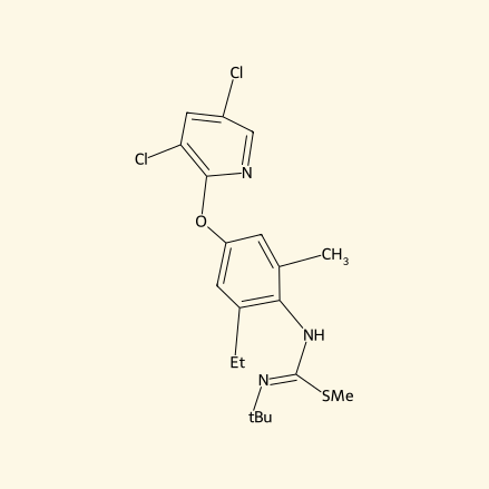 CCc1cc(Oc2ncc(Cl)cc2Cl)cc(C)c1NC(=NC(C)(C)C)SC